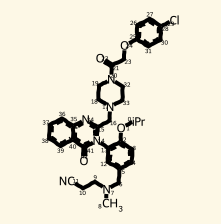 CC(C)Oc1ccc(CN(C)CCC#N)cc1-n1c(CN2CCN(C(=O)COc3ccc(Cl)cc3)CC2)nc2ccccc2c1=O